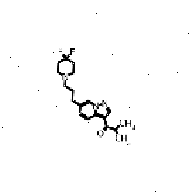 CC(C)C(=O)c1cnn2cc(CCCN3CCC(F)(F)CC3)ccc12